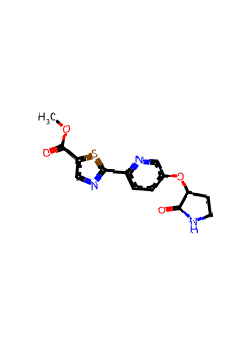 COC(=O)c1cnc(-c2ccc(OC3CCNC3=O)cn2)s1